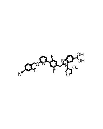 COC1COCC1n1c(Cc2cc(F)c(-c3cccc(OCc4ccc(C#N)cc4F)n3)cc2F)nc2ccc(C(O)O)cc21